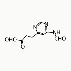 O=CNc1cc(CCC(=O)C=O)ncn1